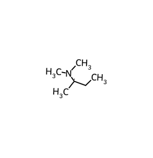 CC[C](C)N(C)C